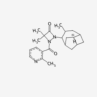 Cc1ncccc1C(=O)N1N(C2C(C)CC3CC4CC2C[C@@H]34)C(=O)C1(C)C